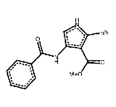 CCCc1[nH]cc(NC(=O)c2ccccc2)c1C(=O)OC